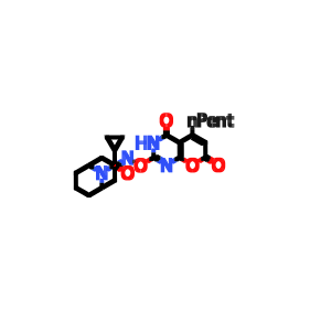 CCCCCc1cc(=O)oc2nc(ON=C3CC4CCCC(C3)N4C(=O)C3CC3)[nH]c(=O)c12